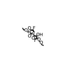 CCOCO[C@H]1[C@@H](O)[C@H](n2cc(F)c(=O)n(COCC)c2=O)O[C@@H]1C